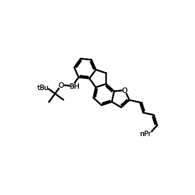 CCC/C=C\C=C\c1cc2ccc3c(c2o1)Cc1cccc(BOC(C)(C)C(C)(C)C)c1-3